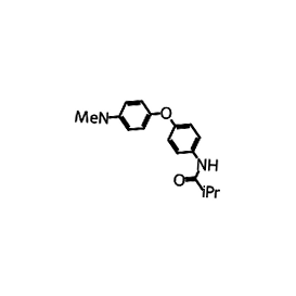 CNc1ccc(Oc2ccc(NC(=O)C(C)C)cc2)cc1